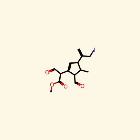 C=C(CI)C1C=C(C(C=O)C(=O)OC)C(C=O)C1C